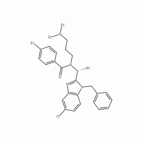 CCc1ccc(C(=O)N(CCCN(CC)CC)[C@@H](c2nc3cc(Cl)ccc3n2Cc2ccccc2)C(C)C)cc1